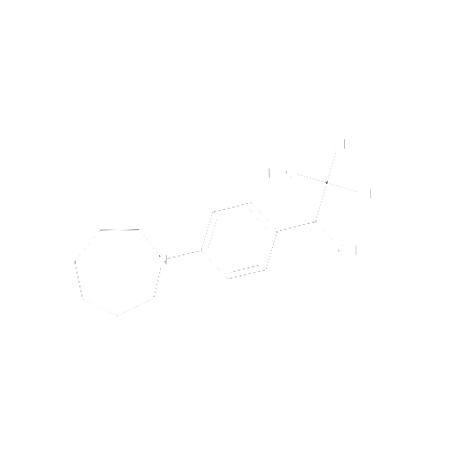 CC(c1ccc(N2CCCCCC2)cc1)C(C)(C)C